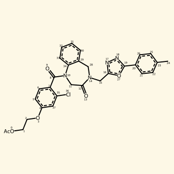 CC(=O)OCCOc1ccc(C(=O)N2CC(=O)N(Cc3nnc(-c4ccc(C)cc4)o3)Cc3ccccc32)c(Cl)c1